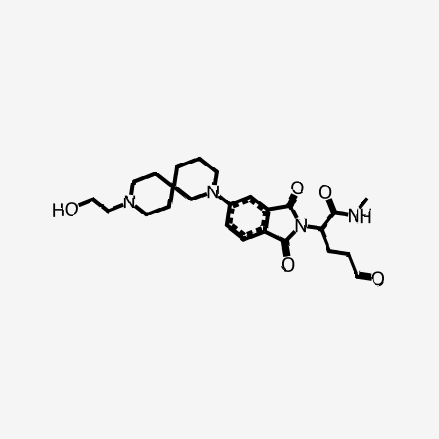 CNC(=O)C(CCC=O)N1C(=O)c2ccc(N3CCCC4(CCN(CCO)CC4)C3)cc2C1=O